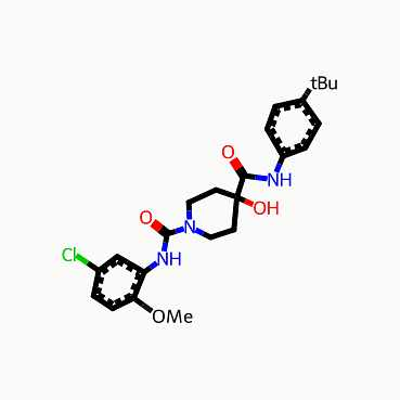 COc1ccc(Cl)cc1NC(=O)N1CCC(O)(C(=O)Nc2ccc(C(C)(C)C)cc2)CC1